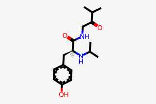 CC(C)N[C@@H](Cc1ccc(O)cc1)C(=O)NCC(=O)C(C)C